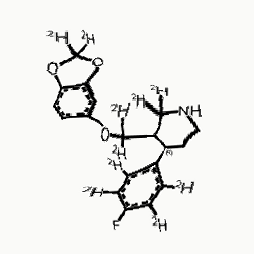 [2H]c1c([2H])c([C@@H]2CCNC([2H])([2H])C2C([2H])([2H])Oc2ccc3c(c2)OC([2H])([2H])O3)c([2H])c([2H])c1F